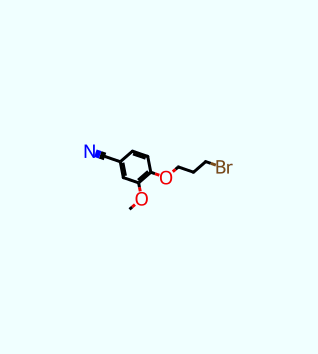 COc1cc(C#N)ccc1OCCCBr